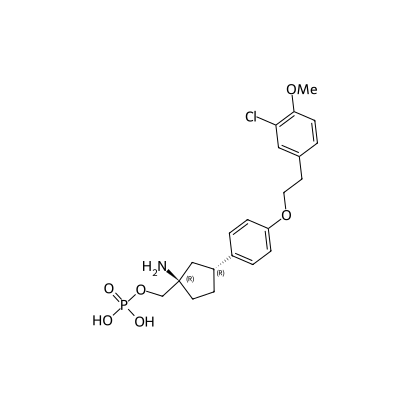 COc1ccc(CCOc2ccc([C@@H]3CC[C@](N)(COP(=O)(O)O)C3)cc2)cc1Cl